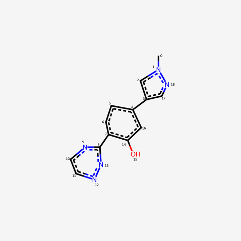 Cn1cc(-c2ccc(-c3nccnn3)c(O)c2)cn1